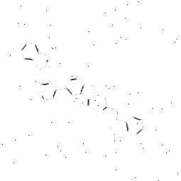 Cc1cccc(C(CO)NC(=O)C(C)N2Cc3ncc(-c4nc(On5nnc6ccccc65)ncc4Cl)cc3C2=O)c1